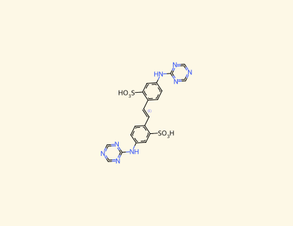 O=S(=O)(O)c1cc(Nc2ncncn2)ccc1/C=C/c1ccc(Nc2ncncn2)cc1S(=O)(=O)O